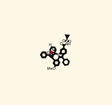 COc1ccc2c(c1)C1CC1(C(=O)N1C3C[C@H]1CN(Cc1ccccc1)C3)Cn1c-2c(C2CCCCC2)c2ccc(C(=O)NS(=O)(=O)C3CC3)cc21